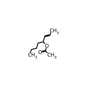 CC=CC(CCCC)OC(C)=O